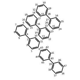 c1ccc(-c2ccccc2)cc1.c1ccc(-c2ccccc2)cc1.c1ccc(-c2ccccc2)cc1.c1ccc(-c2ccccc2)cc1